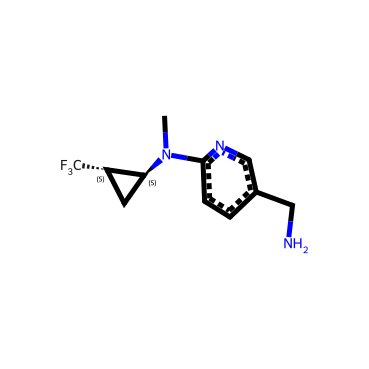 CN(c1ccc(CN)cn1)[C@H]1C[C@@H]1C(F)(F)F